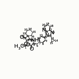 CCOC(=O)[C@H](Cc1ccc(-n2c(C3CC3)nc3cccnc32)cc1)NC1=C(Cl)C(=O)C12CCCCC2